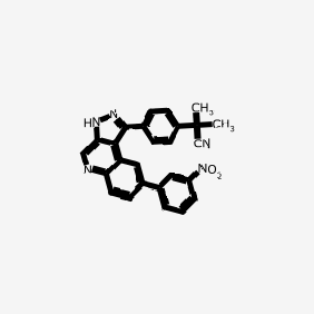 CC(C)(C#N)c1ccc(-c2n[nH]c3cnc4ccc(-c5cccc([N+](=O)[O-])c5)cc4c23)cc1